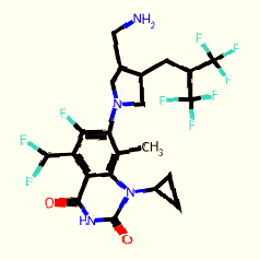 Cc1c(N2CC(CN)C(CC(C(F)(F)F)C(F)(F)F)C2)c(F)c(C(F)F)c2c(=O)[nH]c(=O)n(C3CC3)c12